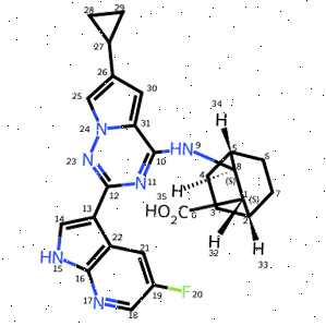 O=C(O)[C@H]1[C@H]2CC[C@H](CC2)[C@@H]1Nc1nc(-c2c[nH]c3ncc(F)cc23)nn2cc(C3CC3)cc12